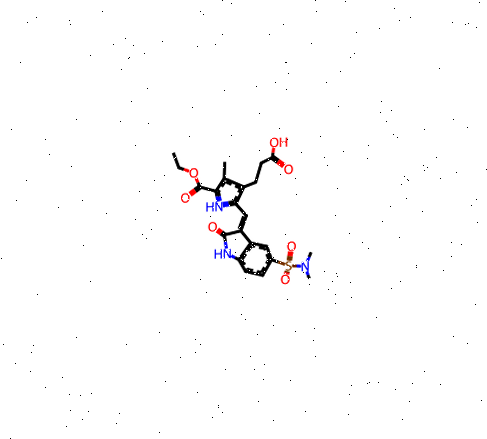 CCOC(=O)c1[nH]c(C=C2C(=O)Nc3ccc(S(=O)(=O)N(C)C)cc32)c(CCC(=O)O)c1C